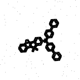 CC1(C)c2cc(N(c3ccc(-c4ccccc4)cc3)c3ccc(-c4ccccc4)cc3)ccc2-c2oc3ccccc3c21